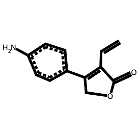 C=CC1=C(c2ccc(N)cc2)COC1=O